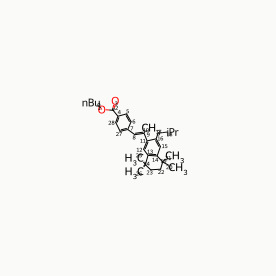 CCCCOC(=O)c1ccc(C=C(C)c2cc3c(cc2CC(C)C)C(C)(C)CCC3(C)C)cc1